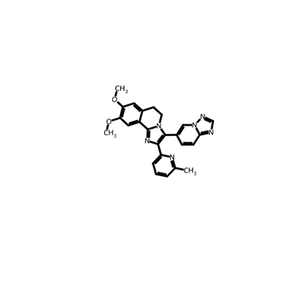 COc1cc2c(cc1OC)-c1nc(-c3cccc(C)n3)c(-c3ccc4ncnn4c3)n1CC2